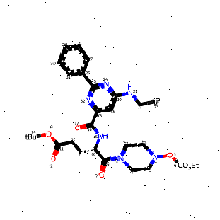 CCOC(=O)ON1CCN(C(=O)[C@H](CCC(=O)OC(C)(C)C)NC(=O)c2cc(NCC(C)C)nc(-c3ccccc3)n2)CC1